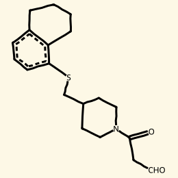 O=CCC(=O)N1CCC(CSc2cccc3c2CCCC3)CC1